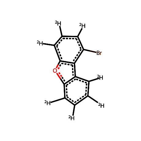 [2H]c1c([2H])c([2H])c2c(oc3c([2H])c([2H])c([2H])c(Br)c32)c1[2H]